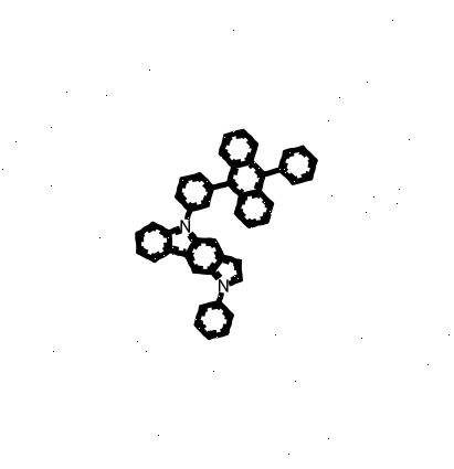 c1ccc(-c2c3ccccc3c(-c3cccc(-n4c5ccccc5c5cc6c(ccn6-c6ccccc6)cc54)c3)c3ccccc23)cc1